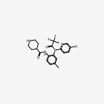 O=C(Nc1ccc(I)cc1N(C(=O)C(F)(F)F)c1ccc(Cl)cn1)C1CCNCC1